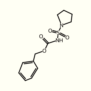 O=C(NS(=O)(=O)N1CCCC1)OCc1ccccc1